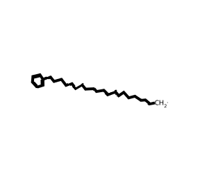 [CH2]CCCCCCCCCCCCCCCCCCCCc1ccccc1